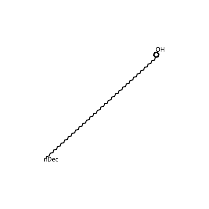 CCCCCCCCCCCCCCCCCCCCCCCCCCCCCCCCCCCCCCCCCCCCCCCCCCCCCCCCCCCCCCCCCCCCCCc1ccc(O)cc1